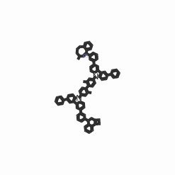 Cc1cc(N2c3ccc(-c4ccccc4)cc3C3=CC(c4cccc(/C5=C/C(C)CCCc6ccccc65)c4)=CCC32)ccc1-c1ccc(-n2c3ccc(-c4ccccc4)cc3c3cc(-c4cccc(C5CC6=C(CC6)c6ccccc65)c4)ccc32)cc1C